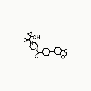 O=C(C1CCC(C2CCC3OCOC3C2)CC1)N1CCN(C(=O)C2(O)CC2)CC1